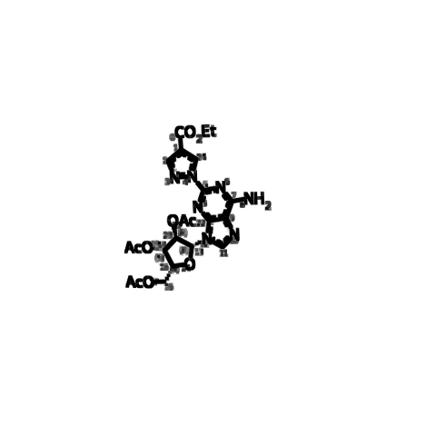 CCOC(=O)c1cnn(-c2nc(N)c3ncn([C@@H]4O[C@H](COC(C)=O)[C@H](OC(C)=O)[C@H]4OC(C)=O)c3n2)c1